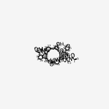 C=CC(=O)N1CC[C@](O)(C(=O)N(C)[C@H](C(=O)N[C@H]2Cc3cc(O)cc(c3)-c3ccc4c(c3)c(c(-c3ccccc3CCOC)n4CC)CC(C)(C)COC(=O)[C@@H]3CCCN(N3)C2=O)C2CCOCC2)C1